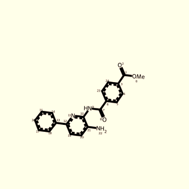 COC(=O)c1ccc(C(=O)Nc2nc(-c3ccccc3)ccc2N)cc1